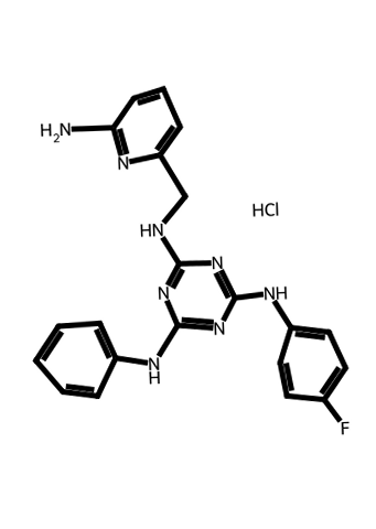 Cl.Nc1cccc(CNc2nc(Nc3ccccc3)nc(Nc3ccc(F)cc3)n2)n1